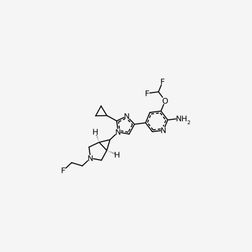 Nc1ncc(-c2cn(C3[C@H]4CN(CCF)C[C@@H]34)c(C3CC3)n2)cc1OC(F)F